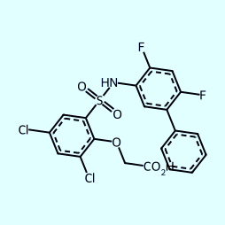 O=C(O)COc1c(Cl)cc(Cl)cc1S(=O)(=O)Nc1cc(-c2ccccc2)c(F)cc1F